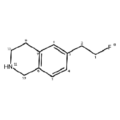 FCCc1ccc2c(c1)CCNC2